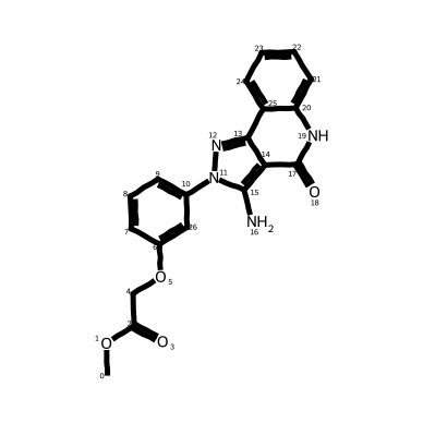 COC(=O)COc1cccc(-n2nc3c(c2N)c(=O)[nH]c2ccccc23)c1